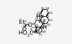 CCC(=O)OC[C@]12CC[C@H]3[C@@H](CCC4=CCC=C[C@@]43C)[C@@H]1CC[C@@H]2C(=O)O